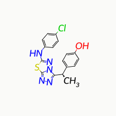 C[C@H](c1ccc(O)cc1)c1nnc2sc(Nc3ccc(Cl)cc3)nn12